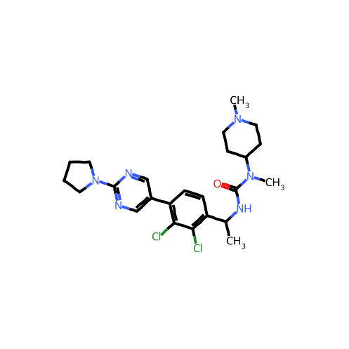 CC(NC(=O)N(C)C1CCN(C)CC1)c1ccc(-c2cnc(N3CCCC3)nc2)c(Cl)c1Cl